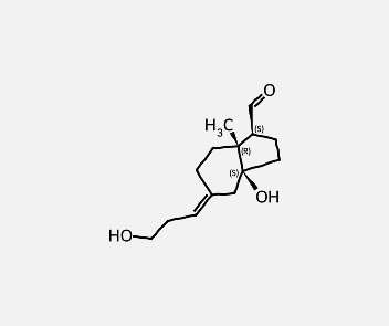 C[C@]12CCC(=CCCO)C[C@@]1(O)CC[C@@H]2C=O